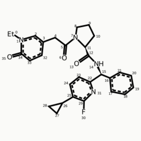 CCn1cc(CC(=O)N2CCC[C@H]2C(=O)N[C@@H](c2ccccc2)c2ccc(C3CC3)c(F)n2)ccc1=O